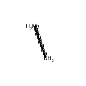 NCCOCCOCCOCCOCCOCCOCCOCC(N)=O